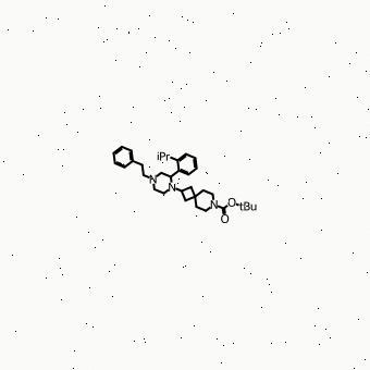 CC(C)c1ccccc1C1CN(CCc2ccccc2)CCN1C1CC2(CCN(C(=O)OC(C)(C)C)CC2)C1